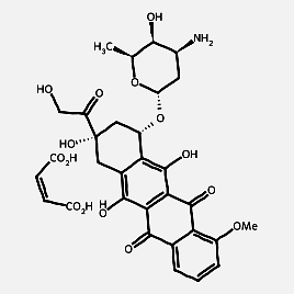 COc1cccc2c1C(=O)c1c(O)c3c(c(O)c1C2=O)C[C@@](O)(C(=O)CO)C[C@@H]3O[C@H]1C[C@H](N)[C@H](O)[C@H](C)O1.O=C(O)/C=C\C(=O)O